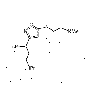 CCCC(CCC(C)C)c1cc(NCCNC)on1